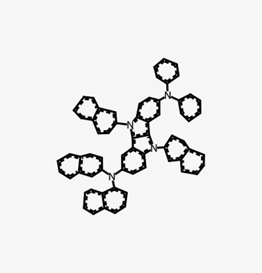 c1ccc(N(c2ccccc2)c2ccc3c(c2)c2c(c4cc(N(c5ccc6ccccc6c5)c5cccc6ccccc56)ccc4n2-c2ccc4ccccc4c2)n3-c2ccc3ccccc3c2)cc1